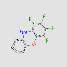 Fc1c(F)c(F)c2c(c1F)Nc1ccccc1O2